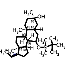 C/C=C1/CC[C@H]2[C@@H]3C(O[Si](C)(C)C(C)(C)C)C[C@H]4C[C@](C)(O)CC[C@]4(C)[C@H]3CC[C@]12C